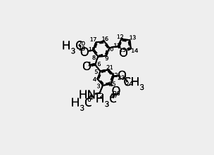 CNCc1cc(C(=O)c2cc(-c3ccco3)ccc2OC)cc(OC)c1OC